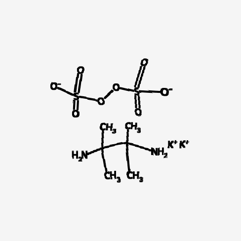 CC(C)(N)C(C)(C)N.O=S(=O)([O-])OOS(=O)(=O)[O-].[K+].[K+]